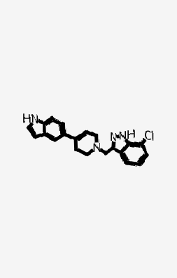 Clc1cccc2c(CN3CC=C(c4ccc5[nH]ccc5c4)CC3)n[nH]c12